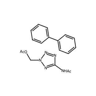 CC(=O)Nc1nnn(COC(C)=O)n1.c1ccc(-c2ccccc2)cc1